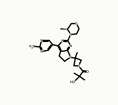 C[C@H]1COCCN1c1nc(-c2cnc(N)nc2)c2c(n1)N(C1(C)CN(C(=O)C(C)(C)O)C1)CC2